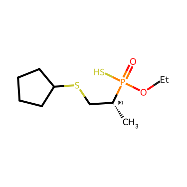 CCOP(=O)(S)[C@H](C)CSC1CCCC1